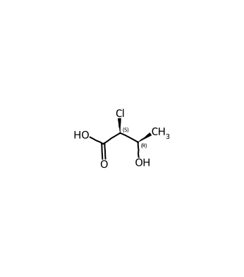 C[C@@H](O)[C@H](Cl)C(=O)O